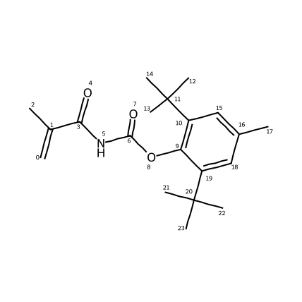 C=C(C)C(=O)NC(=O)Oc1c(C(C)(C)C)cc(C)cc1C(C)(C)C